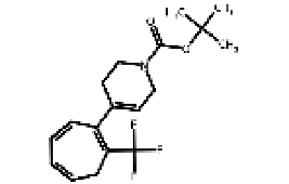 CC(C)(C)OC(=O)N1CC=C(C2=C(C(F)(F)F)CC=CC=C2)CC1